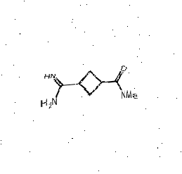 CNC(=O)C1CC(C(=N)N)C1